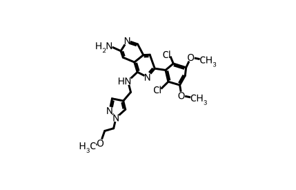 COCCn1cc(CNc2nc(-c3c(Cl)c(OC)cc(OC)c3Cl)cc3cnc(N)cc23)cn1